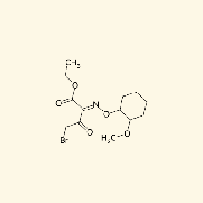 CCOC(=O)/C(=N/OC1CCCCC1OC)C(=O)CBr